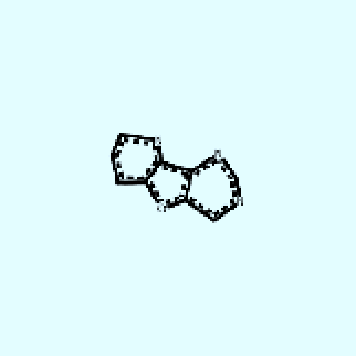 c1cnc2c(c1)oc1cncnc12